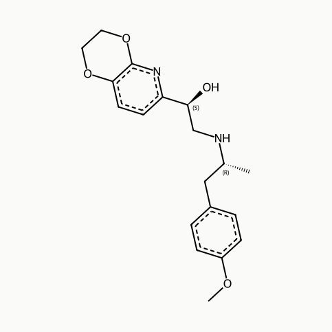 COc1ccc(C[C@@H](C)NC[C@H](O)c2ccc3c(n2)OCCO3)cc1